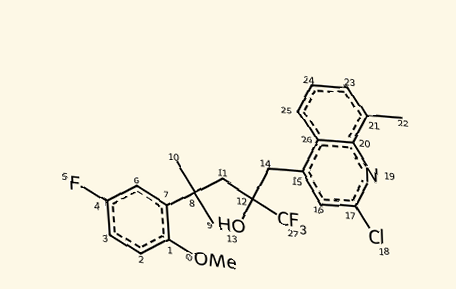 COc1ccc(F)cc1C(C)(C)CC(O)(Cc1cc(Cl)nc2c(C)cccc12)C(F)(F)F